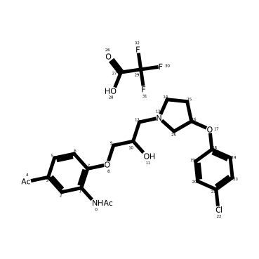 CC(=O)Nc1cc(C(C)=O)ccc1OCC(O)CN1CCC(Oc2ccc(Cl)cc2)C1.O=C(O)C(F)(F)F